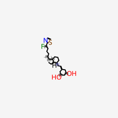 C[C@H](CCC[C@@H](F)c1nccs1)[C@H]1CC[C@H]2/C(=C/C=C3C[C@@H](O)C[C@H](O)C3)CCC[C@]12C